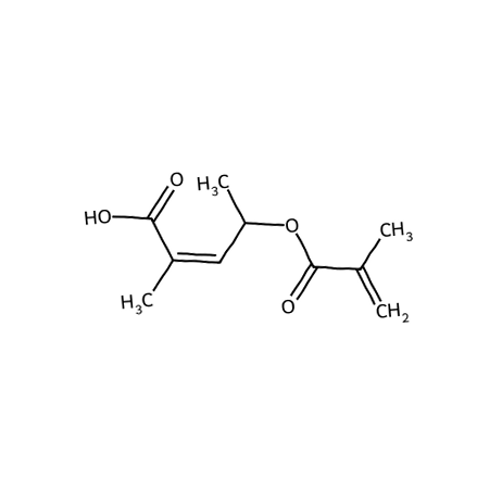 C=C(C)C(=O)OC(C)C=C(C)C(=O)O